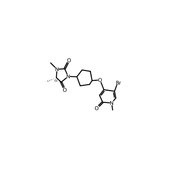 C[C@H]1C(=O)N(C2CCC(Oc3cc(=O)n(C)cc3Br)CC2)C(=O)N1C